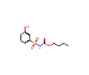 CCCCOC(=O)NS(=O)(=O)c1cccc(O)c1